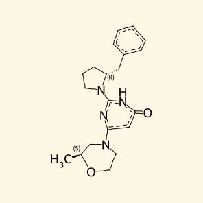 C[C@H]1CN(c2cc(=O)[nH]c(N3CCC[C@@H]3Cc3ccccc3)n2)CCO1